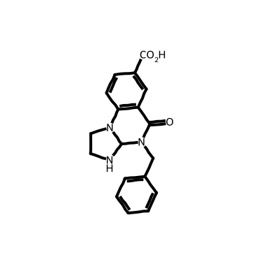 O=C(O)c1ccc2c(c1)C(=O)N(Cc1ccccc1)C1NCCN21